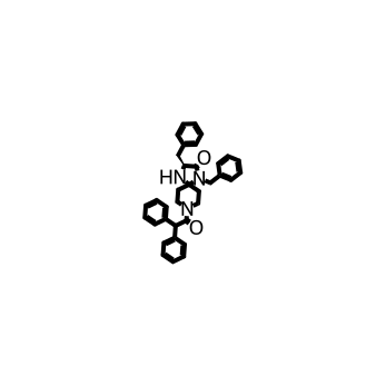 O=C(C(c1ccccc1)c1ccccc1)N1CCC2(CC1)N[C@@H](Cc1ccccc1)C(=O)N2Cc1ccccc1